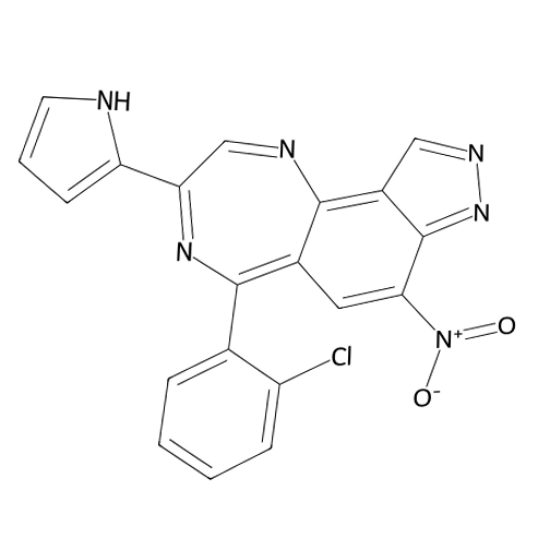 O=[N+]([O-])c1cc2c(-c3ccccc3Cl)nc(-c3ccc[nH]3)cnc2c2cnnc12